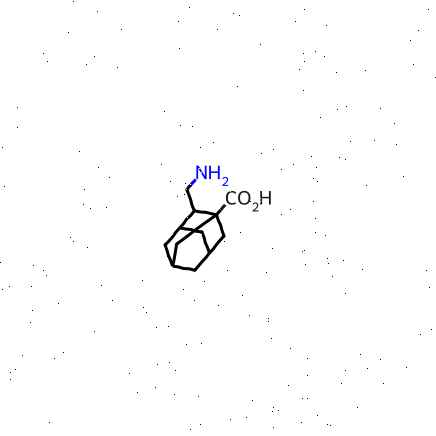 NCC1C2CC3CC(C2)CC1(C(=O)O)C3